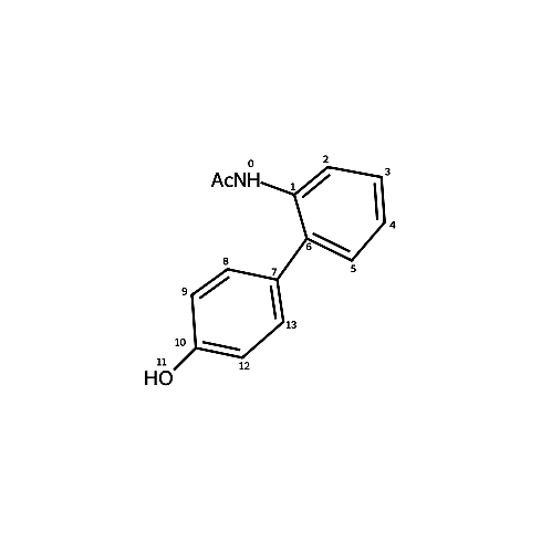 CC(=O)Nc1ccccc1-c1ccc(O)cc1